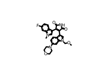 COCn1cc(C2=C(c3cn(C)c4cc(F)ccc34)C(=O)NC2=O)c2ccc(N3CCOCC3)cc21